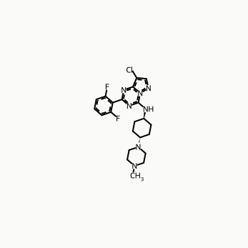 CN1CCN([C@H]2CC[C@H](Nc3nc(-c4c(F)cccc4F)nc4c(Cl)cnn34)CC2)CC1